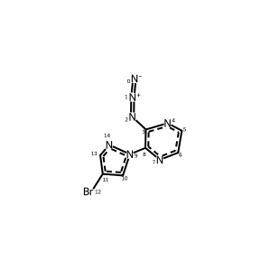 [N-]=[N+]=Nc1nccnc1-n1cc(Br)cn1